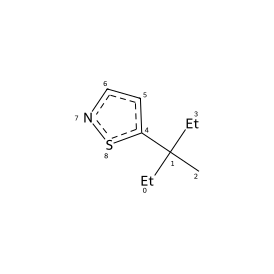 CCC(C)(CC)c1ccns1